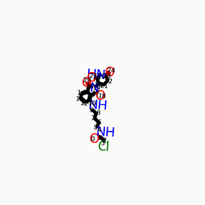 O=C(CCl)NCCCCCNc1cccc2c1C(=O)N(C1CCC(=O)NC1=O)C2=O